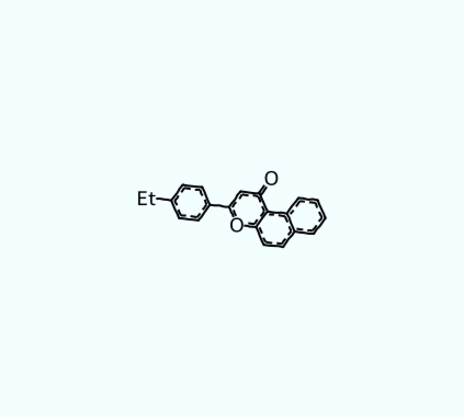 CCc1ccc(-c2cc(=O)c3c(ccc4ccccc43)o2)cc1